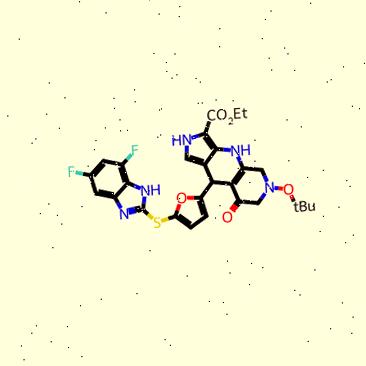 CCOC(=O)c1[nH]cc2c1NC1=C(C(=O)CN(OC(C)(C)C)C1)C2c1ccc(Sc2nc3cc(F)cc(F)c3[nH]2)o1